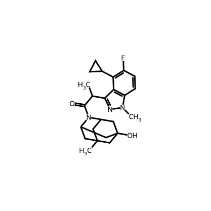 CC(C(=O)N1C2CC3(C)CC1CC(O)(C2)C3)c1nn(C)c2ccc(F)c(C3CC3)c12